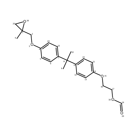 CC1(COc2ccc(C(C)(C)c3ccc(OCCOC=O)cc3)cc2)CO1